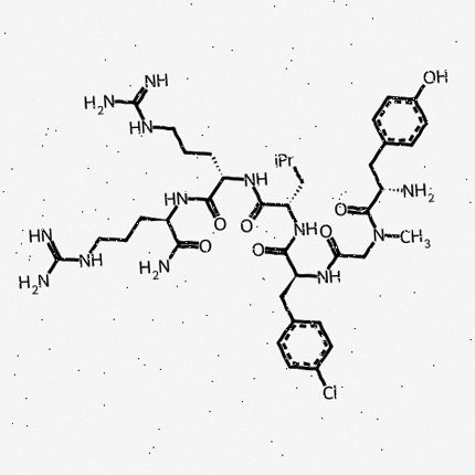 CC(C)C[C@H](NC(=O)[C@H](Cc1ccc(Cl)cc1)NC(=O)CN(C)C(=O)[C@@H](N)Cc1ccc(O)cc1)C(=O)N[C@@H](CCCNC(=N)N)C(=O)N[C@H](CCCNC(=N)N)C(N)=O